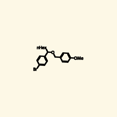 CCCCCCC(OCc1ccc(OC)cc1)c1ccc(Br)cc1